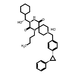 CCCCN1C(=O)[C@@H]([C@H](O)C2CCCCC2)NC(=O)C12CCN(Cc1ccc([C@@H]3C[C@H]3c3ccccc3)cc1)CC2.Cl